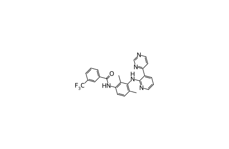 Cc1ccc(NC(=O)c2cccc(C(F)(F)F)c2)c(C)c1Nc1ncccc1-c1ccncn1